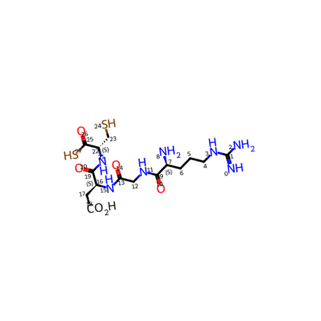 N=C(N)NCCC[C@H](N)C(=O)NCC(=O)N[C@@H](CC(=O)O)C(=O)N[C@@H](CS)C(=O)S